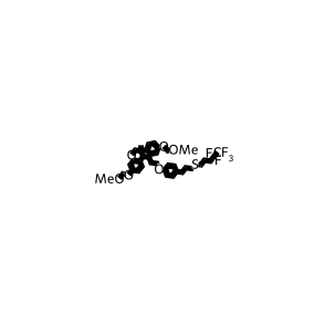 COCOc1ccc(C2(C)COc3cc(OCOC)ccc3C2CCCOc2ccc(CCCSCCCC(F)(F)C(F)(F)F)cc2)cc1